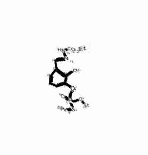 CCCSP(=O)(OCC)Oc1cccc(C=NNC(=O)OCC)c1Cl